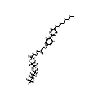 CCCCCCCCc1cnc(-c2ccc(OC[C@@H](F)COCC(F)(F)OC(F)(F)C(F)(F)OC(F)(F)C(F)(F)C(F)(F)C(F)(F)F)cc2)nc1